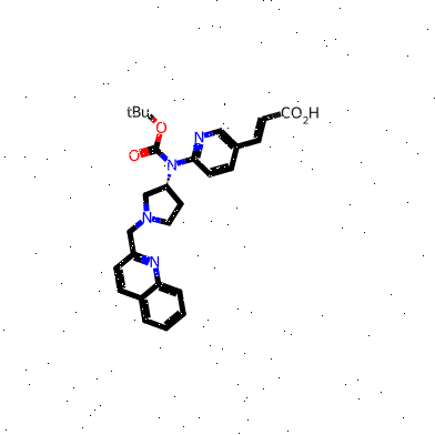 CC(C)(C)OC(=O)N(c1ccc(/C=C/C(=O)O)cn1)[C@@H]1CCN(Cc2ccc3ccccc3n2)C1